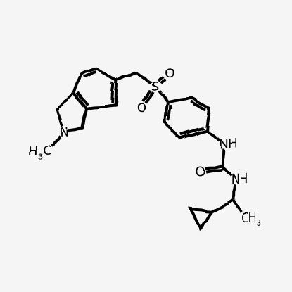 CC(NC(=O)Nc1ccc(S(=O)(=O)Cc2ccc3c(c2)CN(C)C3)cc1)C1CC1